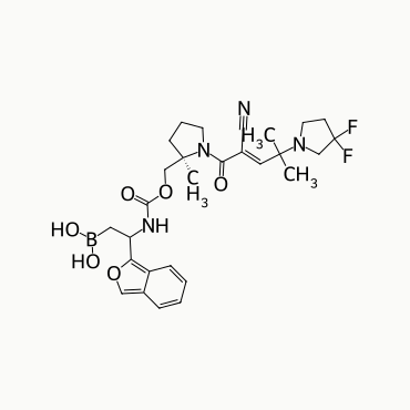 CC(C)(C=C(C#N)C(=O)N1CCC[C@]1(C)COC(=O)NC(CB(O)O)c1occ2ccccc12)N1CCC(F)(F)C1